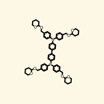 c1cc(N(c2ccc(COC3CCCCO3)cc2)c2ccc(-c3ccc(N(c4ccc(COC5CCCCO5)cc4)c4ccc(COC5CCCCO5)cc4)cc3)cc2)ccc1COC1CCCCO1